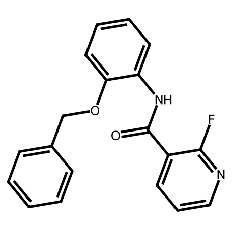 O=C(Nc1ccccc1OCc1ccccc1)c1cccnc1F